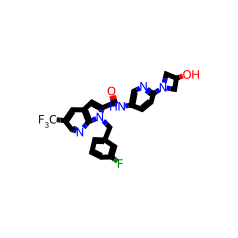 O=C(Nc1ccc(N2CC(O)C2)nc1)c1cc2cc(C(F)(F)F)cnc2n1Cc1cccc(F)c1